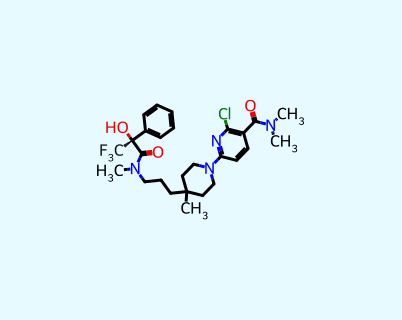 CN(C)C(=O)c1ccc(N2CCC(C)(CCCN(C)C(=O)[C@](O)(c3ccccc3)C(F)(F)F)CC2)nc1Cl